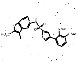 COc1cccc(-c2csc(S(=O)(=O)Nc3ccc4oc(C(=O)O)c(C)c4c3)c2)c1OC